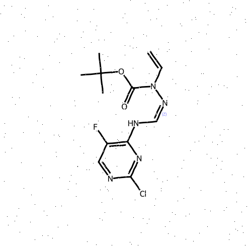 C=CN(/N=C\Nc1nc(Cl)ncc1F)C(=O)OC(C)(C)C